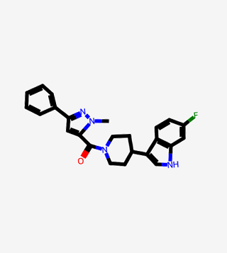 Cn1nc(-c2ccccc2)cc1C(=O)N1CCC(c2c[nH]c3cc(F)ccc23)CC1